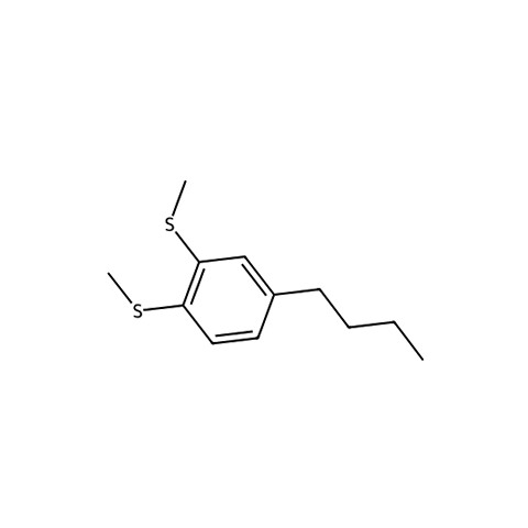 CCCCc1ccc(SC)c(SC)c1